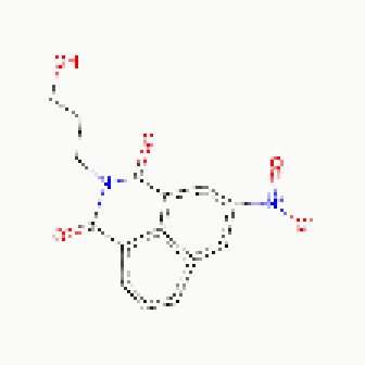 O=C1c2cccc3cc([N+](=O)[O-])cc(c23)C(=O)N1CCCO